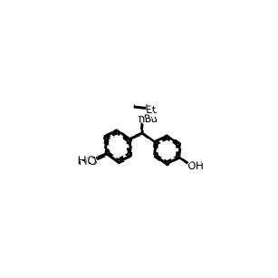 CCC.CCCCC(c1ccc(O)cc1)c1ccc(O)cc1